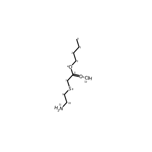 CCCCOC(=O)CSCCN.Cl